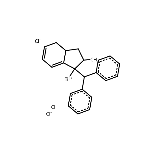 CC1CC2CC=CC=C2[C]1([Ti+3])C(c1ccccc1)c1ccccc1.[Cl-].[Cl-].[Cl-]